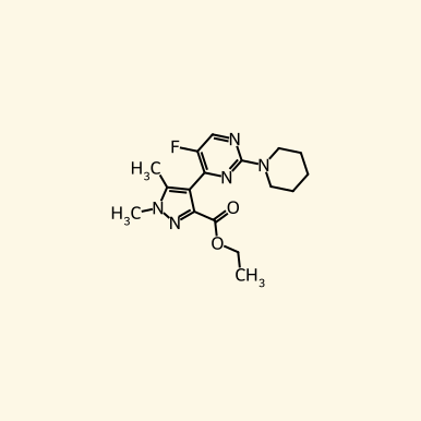 CCOC(=O)c1nn(C)c(C)c1-c1nc(N2CCCCC2)ncc1F